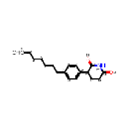 O=CCCCCCCc1ccc(C2CCC(=O)NC2=O)cc1